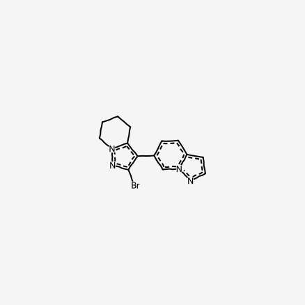 Brc1nn2c(c1-c1ccc3ccnn3c1)CCCC2